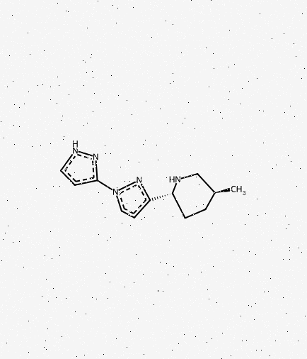 C[C@H]1CC[C@H](c2ccn(-c3cc[nH]n3)n2)NC1